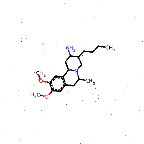 CCCCC1CN2C(C)Cc3cc(OC)c(OC)cc3C2CC1N